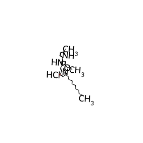 CCCCCCCCCCC1=NC(=Cc2[nH]c(-c3ccc(C)[nH]3)cc2OCC)C=C1.Cl